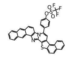 O=S(=O)(Oc1ccc(-c2cc3c(sc4ccc5ccccc5c43)c3nc4c5cc6ccccc6cc5ccc4n23)cc1)C(F)(F)F